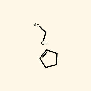 C1=NCCC1.CC(=O)CO